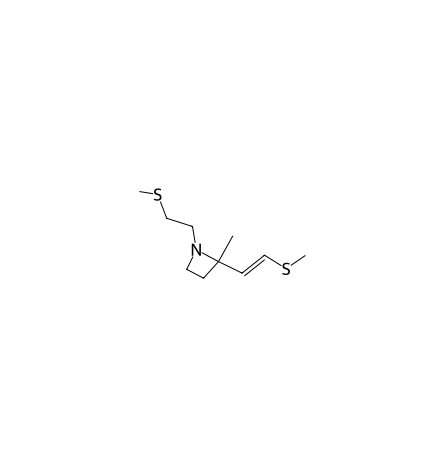 CS/C=C/C1(C)CCN1CCSC